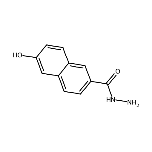 NNC(=O)c1ccc2cc(O)ccc2c1